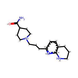 NC(=O)C1CCN(CCCc2ccc3c(n2)NCCC3)CC1